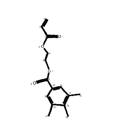 C=CC(=O)OCCOC(=O)c1cc(C)c(C)c(C)c1